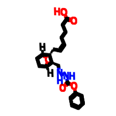 O=C(O)CCC/C=C\C[C@@H]1[C@@H](CNNC(=O)Oc2ccccc2)[C@@H]2CC[C@H]1O2